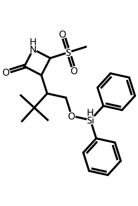 CC(C)(C)C(CO[SiH](c1ccccc1)c1ccccc1)C1C(=O)NC1S(C)(=O)=O